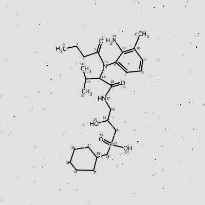 CCCC(=O)N(c1cccc(C)c1N)C(C(=O)NCC(O)CP(=O)(O)CC1CCCCC1)C(C)C